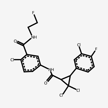 O=C(NCCF)c1cc(NC(=O)C2C(c3ccc(F)c(Cl)c3)C2(Cl)Cl)ccc1Cl